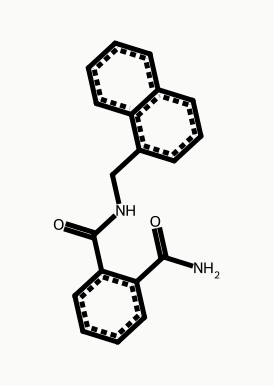 NC(=O)c1ccccc1C(=O)NCc1cccc2ccccc12